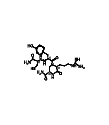 N=C(N)NCCC[C@H]1C(=O)N[C@@H](C(N)=O)CN1C(=O)[C@H](Cc1ccc(O)cc1)NN[C@@H](CS)C(N)=O